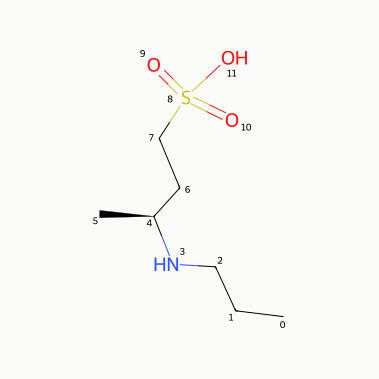 CCCN[C@@H](C)CCS(=O)(=O)O